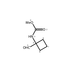 COC(=O)NC1(C=O)CCC1